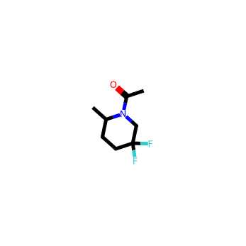 CC(=O)N1CC(F)(F)CCC1C